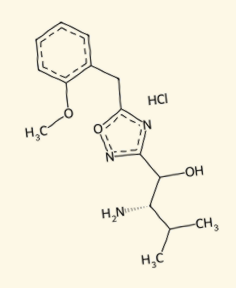 COc1ccccc1Cc1nc(C(O)[C@@H](N)C(C)C)no1.Cl